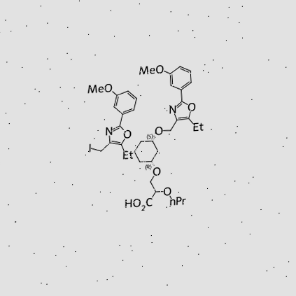 CCCOC(CO[C@@H]1CCC[C@H](OCc2nc(-c3cccc(OC)c3)oc2CC)C1)C(=O)O.CCc1oc(-c2cccc(OC)c2)nc1CI